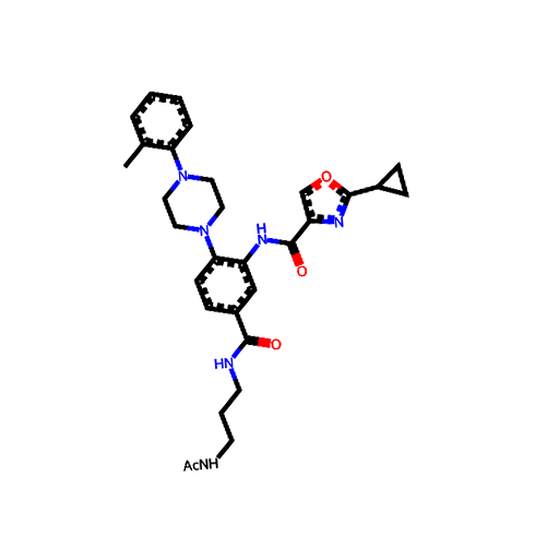 CC(=O)NCCCNC(=O)c1ccc(N2CCN(c3ccccc3C)CC2)c(NC(=O)c2coc(C3CC3)n2)c1